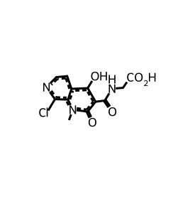 Cn1c(=O)c(C(=O)NCC(=O)O)c(O)c2ccnc(Cl)c21